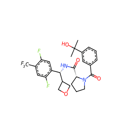 CC(C)(O)c1cccc(C(=O)N2CCC[C@@H]2C(=O)N[C@@H](c2cc(F)c(C(F)(F)F)cc2F)C2COC2)c1